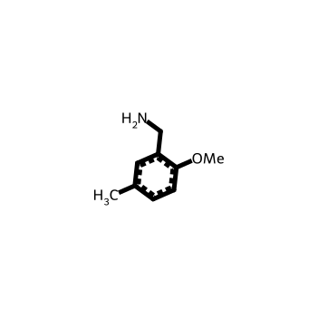 COc1ccc(C)cc1CN